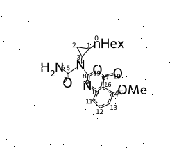 CCCCCCC1CC1N(C(N)=O)c1nc2cccc(OC)c2c(=O)o1